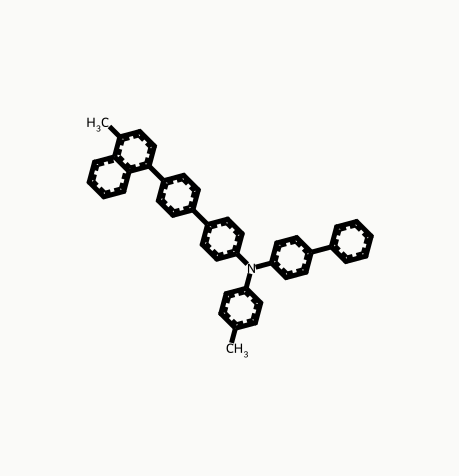 Cc1ccc(N(c2ccc(-c3ccccc3)cc2)c2ccc(-c3ccc(-c4ccc(C)c5ccccc45)cc3)cc2)cc1